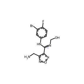 NCc1nonc1/C(=N/CO)Nc1ccc(F)c(Br)c1